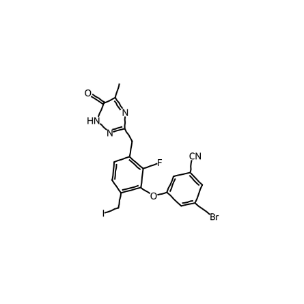 Cc1nc(Cc2ccc(CI)c(Oc3cc(Br)cc(C#N)c3)c2F)n[nH]c1=O